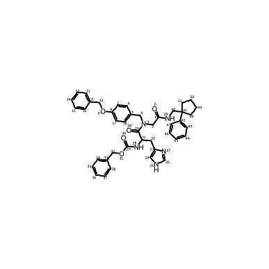 O=C(CN(Cc1ccc(OCc2ccccc2)cc1)C(=O)C(Cc1c[nH]cn1)NC(=O)OCc1ccccc1)NCC1(c2ccccc2)CCCC1